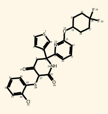 O=C1CC(c2ccsc2)(c2cccc(OC3CCC(F)(F)CC3)n2)NC(=O)C1Sc1ccccc1Cl